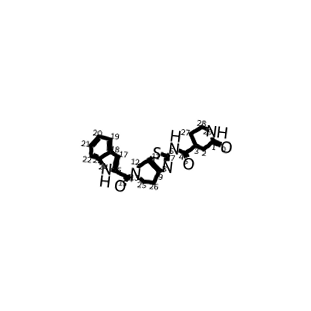 O=C1CC(C(=O)Nc2nc3c(s2)CN(C(=O)c2cc4ccccc4[nH]2)CC3)CCN1